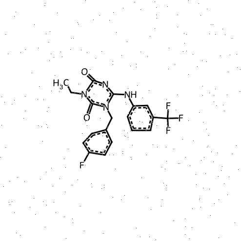 CCn1c(=O)nc(Nc2cccc(C(F)(F)F)c2)n(Cc2ccc(F)cc2)c1=O